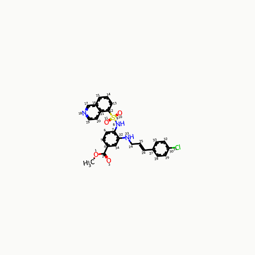 COC(=O)c1ccc(NS(=O)(=O)c2cccc3cnccc23)c(NCC=Cc2ccc(Cl)cc2)c1